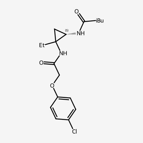 CCC(C)C(=O)N[C@H]1CC1(CC)NC(=O)COc1ccc(Cl)cc1